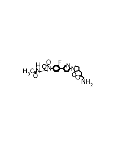 CC(=O)NC[C@H]1CN(c2ccc(-c3ccc(N4CCC(CC(=O)CN)C4=O)nc3)c(F)c2)C(=O)O1